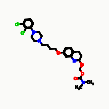 CN(C)C(=O)OCOC1=Nc2cc(OCCCCN3CCN(c4cccc(Cl)c4Cl)CC3)ccc2CC1